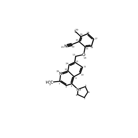 Cc1cc(N2CCCC2)c2ccc(COc3cccc(I)c3C#N)cc2n1